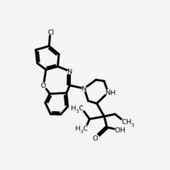 CCC(C(=O)O)(C(C)C)C1CN(C2=Nc3cc(Cl)ccc3Oc3ccccc32)CCN1